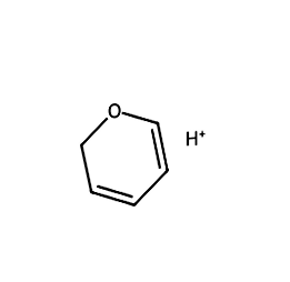 C1=CCOC=C1.[H+]